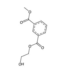 COC(=O)c1cccc(C(=O)OCCO)c1